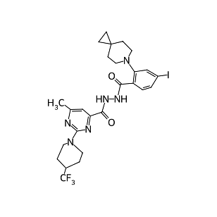 Cc1cc(C(=O)NNC(=O)c2ccc(I)cc2N2CCC3(CC2)CC3)nc(N2CCC(C(F)(F)F)CC2)n1